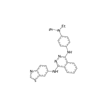 CCN(c1ccc(Nc2nnc(Nc3ccc4ncsc4c3)c3ccccc23)cc1)C(C)C